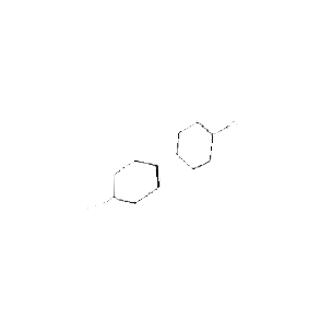 CCCCCCCCCCC1CCC([C@H]2CC[C@H](CCCCCCCC)CC2)CC1